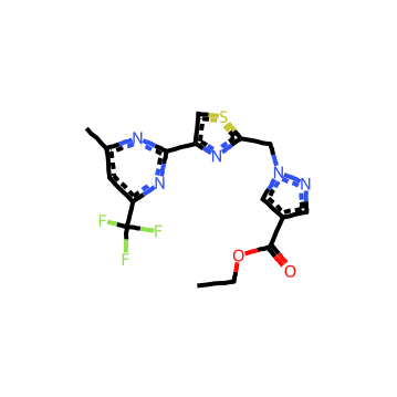 CCOC(=O)c1cnn(Cc2nc(-c3nc(C)cc(C(F)(F)F)n3)cs2)c1